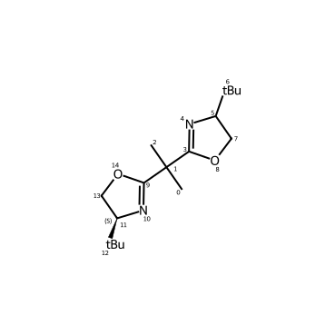 CC(C)(C1=NC(C(C)(C)C)CO1)C1=N[C@@H](C(C)(C)C)CO1